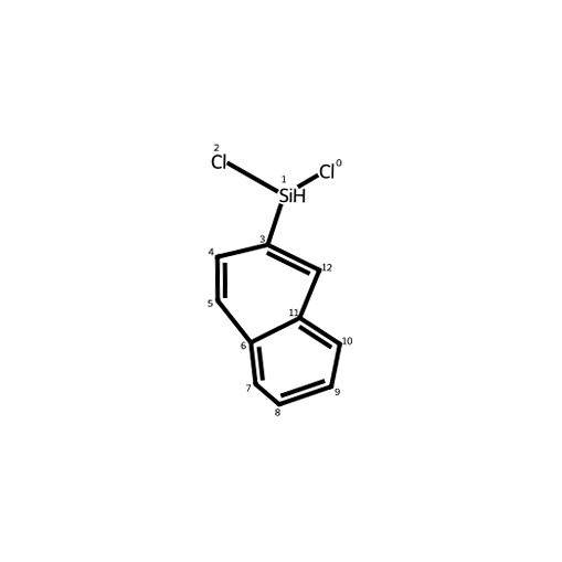 Cl[SiH](Cl)c1ccc2ccccc2c1